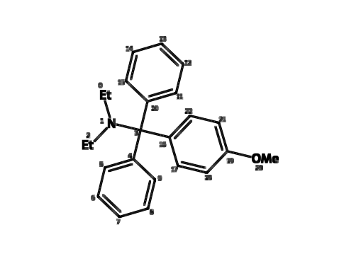 CCN(CC)C(c1ccccc1)(c1ccccc1)c1ccc(OC)cc1